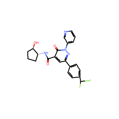 O=C(N[C@@H]1CCC[C@H]1O)c1cc(-c2ccc(C(F)F)cc2)nn(-c2cccnc2)c1=O